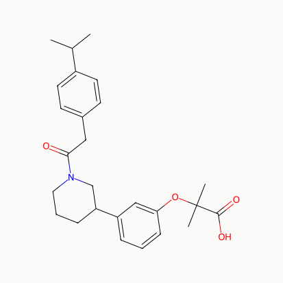 CC(C)c1ccc(CC(=O)N2CCCC(c3cccc(OC(C)(C)C(=O)O)c3)C2)cc1